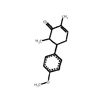 COc1ccc(C2CC=C(C)C(=O)C2C)cc1